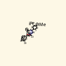 COc1ccc(C2=C\C(=O)N3C=C(N4CCN(C)[C@H](C)C4)C=C(C)\C3=C/C=C/2)cc1C(C)C